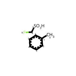 Cc1ccccc1.O=S(=O)(O)CF